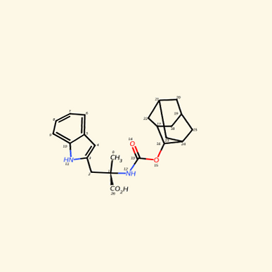 C[C@@](Cc1cc2ccccc2[nH]1)(NC(=O)OC1C2CC3CC(C2)CC1C3)C(=O)O